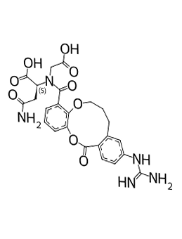 N=C(N)Nc1ccc2c(c1)CCCOc1c(cccc1C(=O)N(CC(=O)O)[C@@H](CC(N)=O)C(=O)O)OC2=O